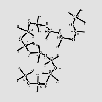 C[SiH](O[SiH](C)O[Si](C)(C)C)O[SiH](C)O[Si](C)(C)O[Si](C)(C)O[Si](C)(C)O[Si](C)(C)O[Si](C)(C)O[Si](C)(C)O[Si](C)(C)O[Si](C)(C)C